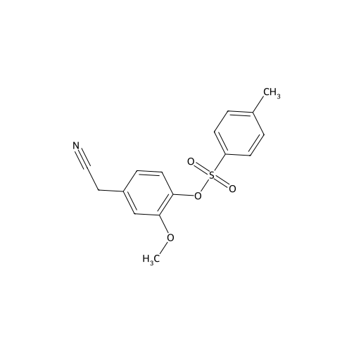 COc1cc(CC#N)ccc1OS(=O)(=O)c1ccc(C)cc1